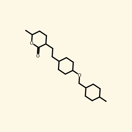 CC1CCC(COC2CCC(CCC3CCC(C)OC3=O)CC2)CC1